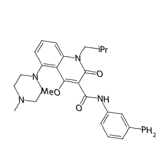 COc1c(C(=O)Nc2cccc(P)c2)c(=O)n(CC(C)C)c2cccc(N3CCN(C)CC3)c12